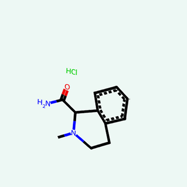 CN1CCc2c[c]ccc2C1C(N)=O.Cl